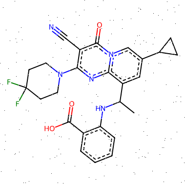 CC(Nc1ccccc1C(=O)O)c1cc(C2CC2)cn2c(=O)c(C#N)c(N3CCC(F)(F)CC3)nc12